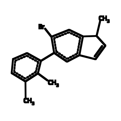 Cc1cccc(-c2cc3c(cc2Br)C(C)C=C3)c1C